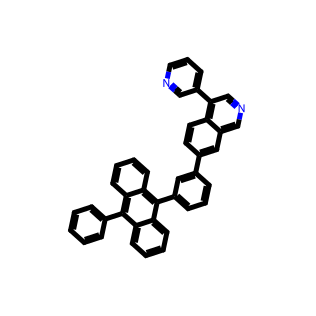 c1ccc(-c2c3ccccc3c(-c3cccc(-c4ccc5c(-c6cccnc6)cncc5c4)c3)c3ccccc23)cc1